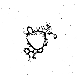 CCn1c(-c2cccnc2[C@H](C)OC)c2c3cc(ccc31)-c1csc(n1)[C@@H](OCCN1CCC1)[C@H](NC(=O)[C@H]1[C@H](C)[C@@H]1C)C(=O)N1CCC[C@H](N1)C(=O)OCC(C)(C)C2